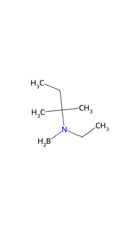 BN(CC)C(C)(C)CC